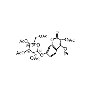 CC(=O)OC[C@H]1O[C@@H](Oc2ccc3c(OC(C)C)c(OC(C)=O)c(=O)oc3c2)[C@H](OC(C)=O)[C@@H](OC(C)=O)[C@H]1OC(C)=O